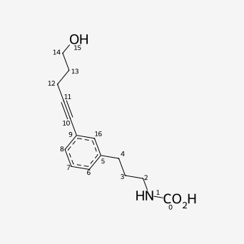 O=C(O)NCCCc1cccc(C#CCCCO)c1